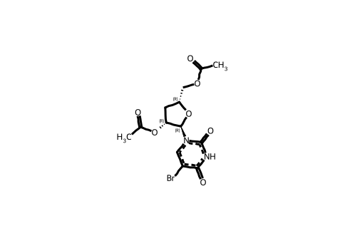 CC(=O)OC[C@H]1C[C@@H](OC(C)=O)[C@H](n2cc(Br)c(=O)[nH]c2=O)O1